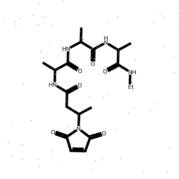 CCNC(=O)C(C)NC(=O)C(C)NC(=O)C(C)NC(=O)CC(C)N1C(=O)C=CC1=O